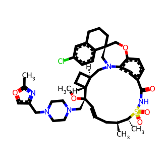 CO[C@@]1(CN2CCN(Cc3coc(C)n3)CC2)/C=C/C[C@H](C)[C@@H](C)S(=O)(=O)NC(=O)c2ccc3c(c2)N(C[C@@H]2CC[C@H]21)C[C@@]1(CCCc2cc(Cl)ccc21)CO3